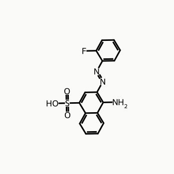 Nc1c(N=Nc2ccccc2F)cc(S(=O)(=O)O)c2ccccc12